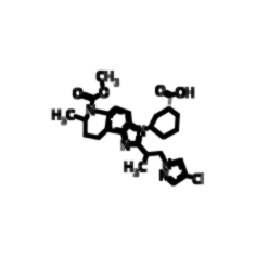 COC(=O)N1c2ccc3c(nc(C(C)Cn4cc(Cl)cn4)n3[C@@H]3CCC[C@@H](C(=O)O)C3)c2CCC1C